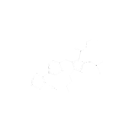 CCCCc1nn(CC(F)(F)F)c(C(=O)OCC)c1Cc1ccc(-c2ccccc2C#N)cc1